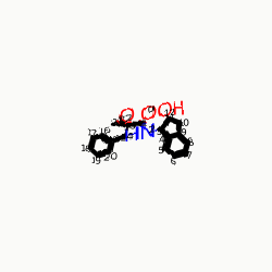 O=C(N[C@H]1c2ccccc2C[C@H]1O)[C@]1(Cc2ccccc2)CO1